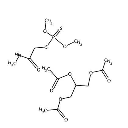 CC(=O)OCC(COC(C)=O)OC(C)=O.CNC(=O)CSP(=S)(OC)OC